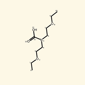 CCOCCN(CCOCC)C(=O)O